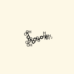 N=C(N)Nc1ccc(C(=O)Oc2ccc3c(C(=O)N(CC(=O)O)Cc4ccc(CC(=O)O)cc4)cccc3c2)cc1